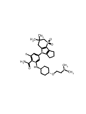 CN(C)CCO[C@H]1CC[C@H](Nc2cc(-n3c4c(c5c3CC(C)(C)CS5(=O)=O)CCC4)cc(F)c2C(N)=O)CC1